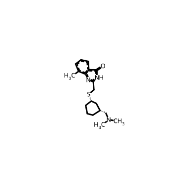 Cc1cccc2c(=O)[nH]c(CS[C@H]3CCC[C@@H](CN(C)C)C3)nc12